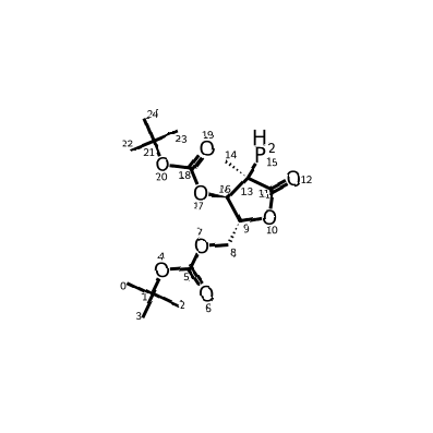 CC(C)(C)OC(=O)OC[C@H]1OC(=O)[C@](C)(P)[C@@H]1OC(=O)OC(C)(C)C